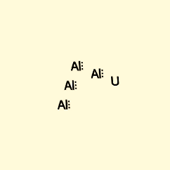 [Al].[Al].[Al].[Al].[U]